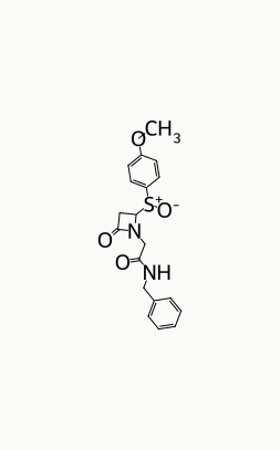 COc1ccc([S+]([O-])C2CC(=O)N2CC(=O)NCc2ccccc2)cc1